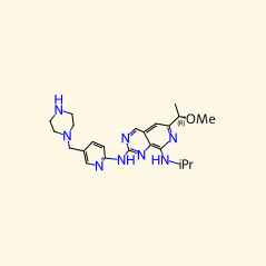 CO[C@H](C)c1cc2cnc(Nc3ccc(CN4CCNCC4)cn3)nc2c(NC(C)C)n1